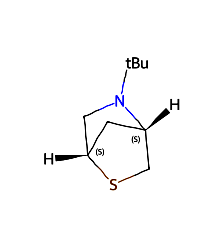 CC(C)(C)N1C[C@@H]2C[C@H]1CS2